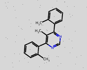 Cc1ccccc1-c1ncnc(-c2ccccc2C)c1C